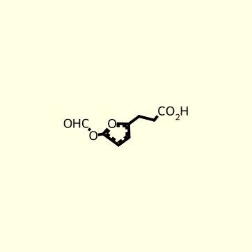 O=COc1ccc(CCC(=O)O)o1